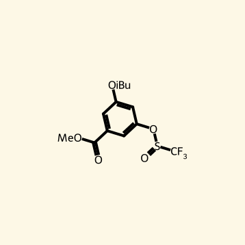 COC(=O)c1cc(OCC(C)C)cc(OS(=O)C(F)(F)F)c1